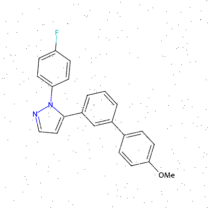 COc1ccc(-c2cccc(-c3ccnn3-c3ccc(F)cc3)c2)cc1